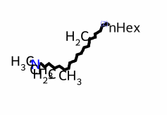 C=C(CCC/C=C\CCCCCC)CCCCCCCC(C)CC(=C)CCCN(C)C